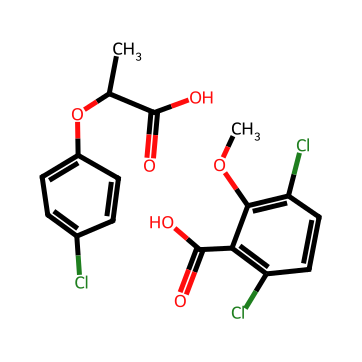 CC(Oc1ccc(Cl)cc1)C(=O)O.COc1c(Cl)ccc(Cl)c1C(=O)O